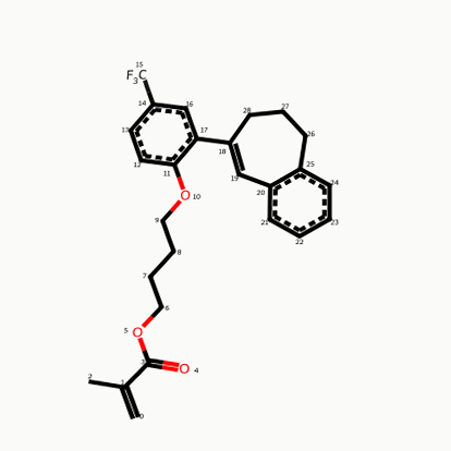 C=C(C)C(=O)OCCCCOc1ccc(C(F)(F)F)cc1C1=Cc2ccccc2CCC1